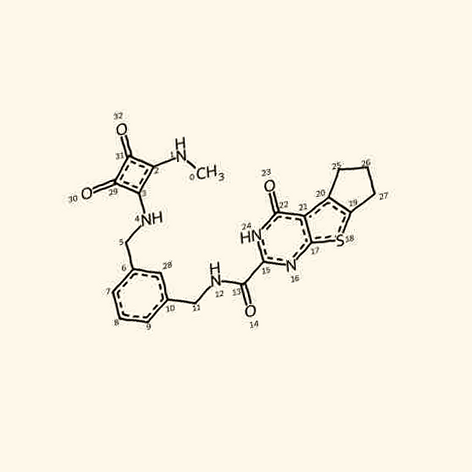 CNc1c(NCc2cccc(CNC(=O)c3nc4sc5c(c4c(=O)[nH]3)CCC5)c2)c(=O)c1=O